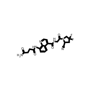 N#CC1CC(F)(F)CN1C(=O)CNC(=O)c1ccnc2c(NC(=O)CCC(N)=O)cccc12